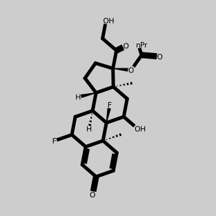 CCCC(=O)O[C@]1(C(=O)CO)CC[C@H]2[C@@H]3CC(F)C4=CC(=O)C=C[C@]4(C)[C@@]3(F)C(O)C[C@@]21C